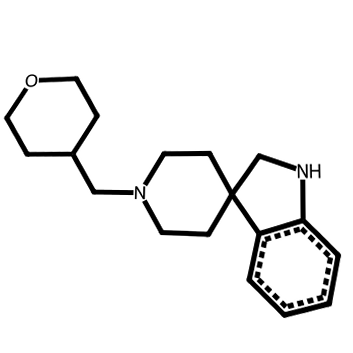 c1ccc2c(c1)NCC21CCN(CC2CCOCC2)CC1